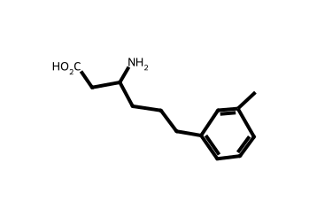 Cc1cccc(CCCC(N)CC(=O)O)c1